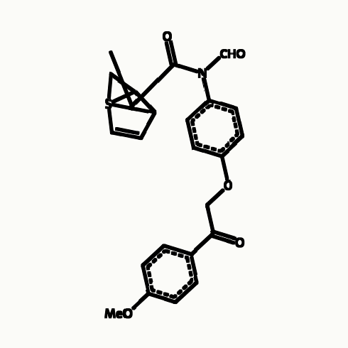 COc1ccc(C(=O)COc2ccc(N(C=O)C(=O)C3C4C=CS5(CC45)C3C)cc2)cc1